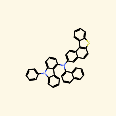 c1ccc(-n2c3ccccc3c3c(N(c4ccc5c(ccc6sc7ccccc7c65)c4)c4cccc5ccccc45)cccc32)cc1